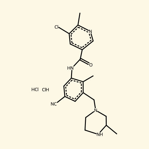 Cc1ncc(C(=O)Nc2cc(C#N)cc(CN3CCNC(C)C3)c2C)cc1Cl.Cl.Cl